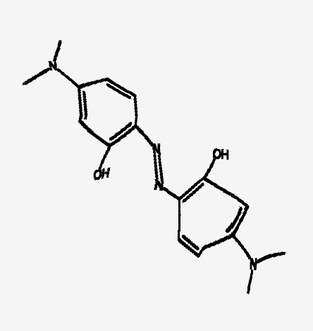 CN(C)c1ccc(/N=N/c2ccc(N(C)C)cc2O)c(O)c1